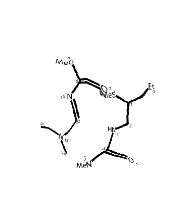 CCC(CNC(=O)NC)SC.COC(=O)N=CN(C)C